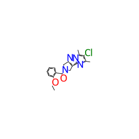 CCOc1ccccc1C(=O)N1Cc2nn3c(C)c(Cl)c(C)nc3c2C1